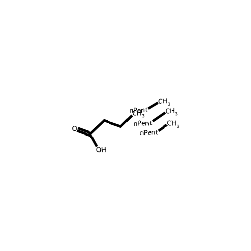 CCCC(=O)O.CCCCCC.CCCCCC.CCCCCC